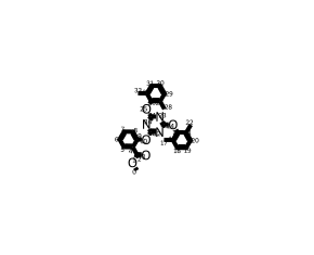 COC(=O)c1ccccc1Oc1nc(Oc2c(C)cccc2C)nc(Oc2c(C)cccc2C)n1